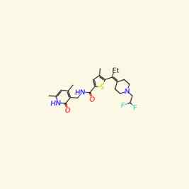 CCC(=C1CCN(CC(F)F)CC1)c1sc(C(=O)NCc2c(C)cc(C)[nH]c2=O)cc1C